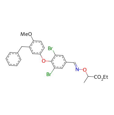 CCOC(=O)C(C)ON=Cc1cc(Br)c(Oc2ccc(OC)c(Cc3ccccc3)c2)c(Br)c1